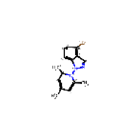 CC1=CC(C)N(n2ncc3c(Br)cccc32)C(C)=C1